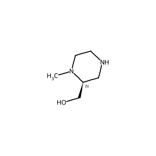 CN1CCNC[C@H]1CO